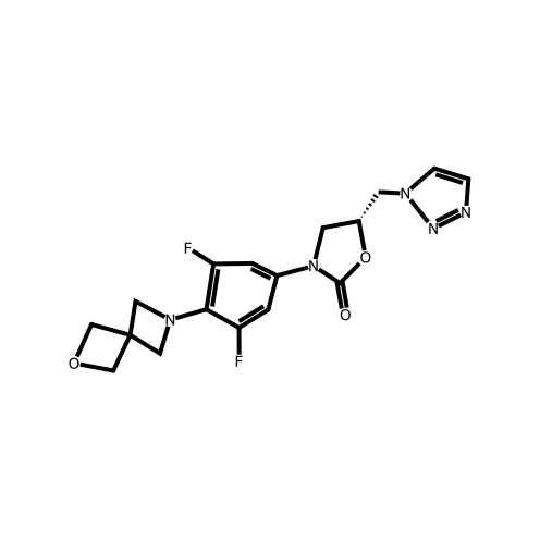 O=C1O[C@@H](Cn2ccnn2)CN1c1cc(F)c(N2CC3(COC3)C2)c(F)c1